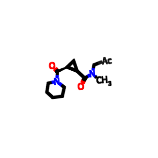 CC(=O)CN(C)C(=O)C1C[C@@H]1C(=O)N1CCCCC1